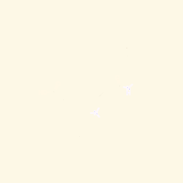 CCc1cc(-c2ccccc2Cn2ccc3cc(C(=O)NC(C)c4ccc(Br)cc4)ccc32)ccc1C(=O)O